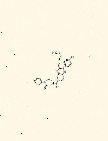 O=C(O)CCCCc1nc2cc(C(=O)N3CCN(c4ccccc4)C(=O)C3)ccc2nc1-c1ccc(Cl)cc1